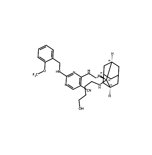 N#Cc1cnc(NCc2ccccc2OC(F)(F)F)nc1NC[C@@]12CC3C[C@H](C1)[C@@H](NCCCCO)[C@@H](C3)C2